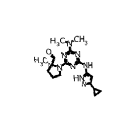 CN(C)c1nc(Nc2cc(C3CC3)n[nH]2)nc(N2CCC[C@@]2(C)C=O)n1